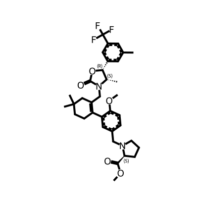 COC(=O)[C@@H]1CCCN1Cc1ccc(OC)c(C2=C(CN3C(=O)O[C@H](c4cc(C)cc(C(F)(F)F)c4)[C@@H]3C)CC(C)(C)CC2)c1